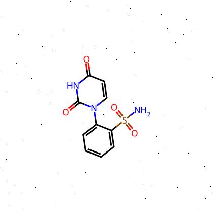 NS(=O)(=O)c1ccccc1-n1ccc(=O)[nH]c1=O